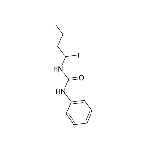 O=C(Nc1ccccc1)NC(I)CCI